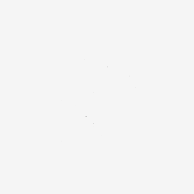 O=C1OC(=O)OC2CCC3CC2OC(=O)OC(=O)OC2CC3CCC2O1